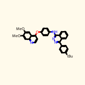 COc1cc2nccc(Oc3ccc(Nc4nnc(-c5ccc(C(C)(C)C)cc5)c5ccccc45)cc3)c2cc1OC